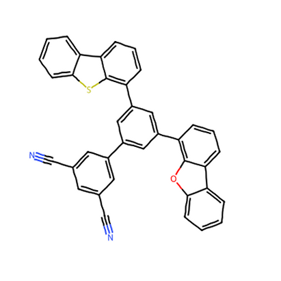 N#Cc1cc(C#N)cc(-c2cc(-c3cccc4c3oc3ccccc34)cc(-c3cccc4c3sc3ccccc34)c2)c1